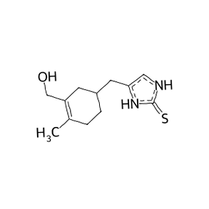 CC1=C(CO)CC(Cc2c[nH]c(=S)[nH]2)CC1